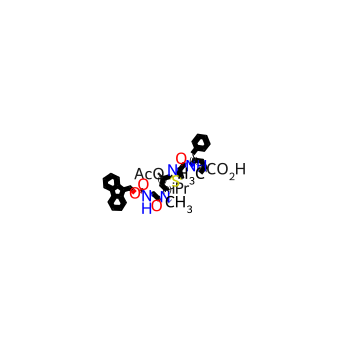 CC(=O)O[C@H](C[C@H](C(C)C)N(C)C(=O)CNC(=O)OCC1c2ccccc2-c2ccccc21)c1nc(C(=O)N[C@H](Cc2ccccc2)C[C@H](C)C(=O)O)cs1